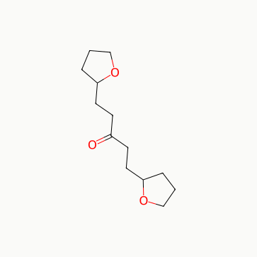 O=C(CCC1CCCO1)CCC1CCCO1